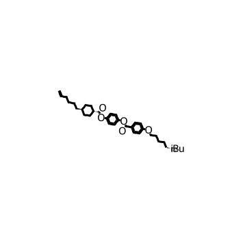 C=CCCCC[C@H]1CC[C@H](C(=O)Oc2ccc(OC(=O)c3ccc(OCCCCC[C@@H](C)CC)cc3)cc2)CC1